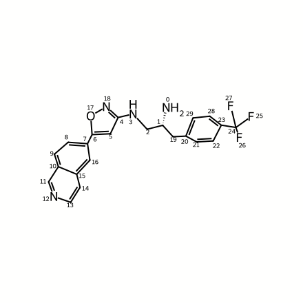 N[C@@H](CNc1cc(-c2ccc3cnccc3c2)on1)Cc1ccc(C(F)(F)F)cc1